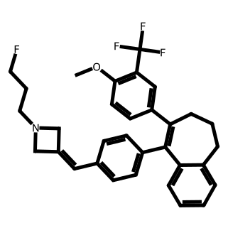 COc1ccc(C2=C(c3ccc(C=C4CN(CCCF)C4)cc3)c3ccccc3CCC2)cc1C(F)(F)F